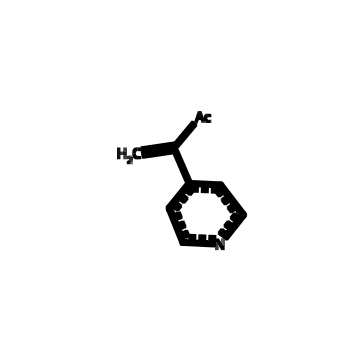 C=C(C(C)=O)c1ccncc1